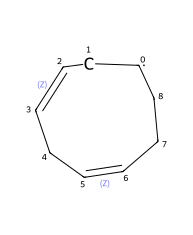 [CH]1C/C=C\C/C=C\CC1